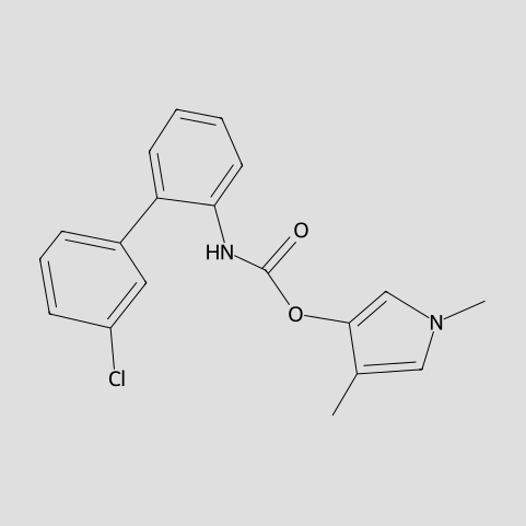 Cc1cn(C)cc1OC(=O)Nc1ccccc1-c1cccc(Cl)c1